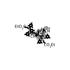 [C-]#[N+]c1c(C(C)(C)C)nn(-c2nnc(-n3nc(C(C)(C)C)c(C#N)c3N=Nc3c(C)cc(N(CCCC(=O)OCC)c4c(C)cc(C)cc4C)nc3Nc3c(C)cc(C)cc3C)s2)c1N=Nc1c(C)cc(N(CCCC(=O)OCC)c2c(C)cc(C)cc2C)nc1Nc1c(C)cc(C)cc1C